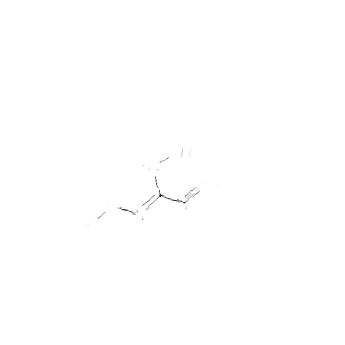 CON=C(C=O)OC